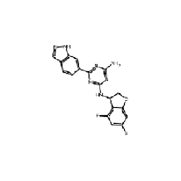 Nc1nc(NC2COc3cc(F)cc(F)c32)nc(-c2ccc3cn[nH]c3c2)n1